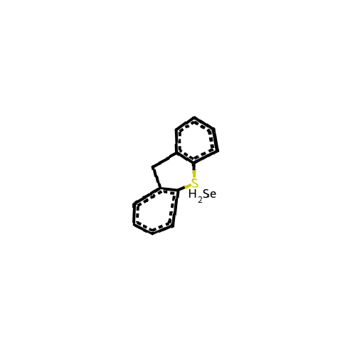 [SeH2].c1ccc2c(c1)Cc1ccccc1S2